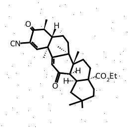 [C-]#[N+]C1=C[C@]2(C)C3=CC(=O)[C@@H]4[C@@H]5CC(C)(C)CC[C@]5(C(=O)OCC)CC[C@@]4(C)[C@]3(C)CC[C@H]2[C@H](C)C1=O